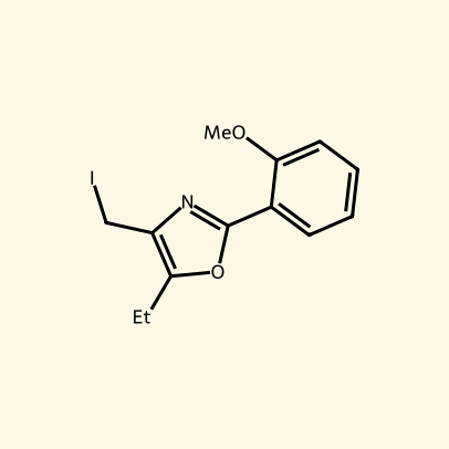 CCc1oc(-c2ccccc2OC)nc1CI